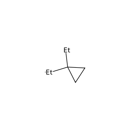 C[CH]C1(CC)CC1